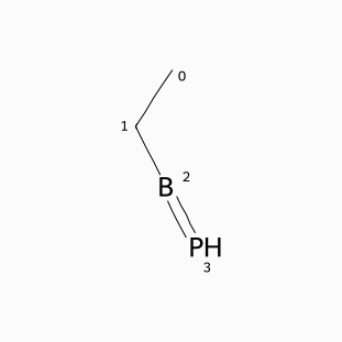 CCB=P